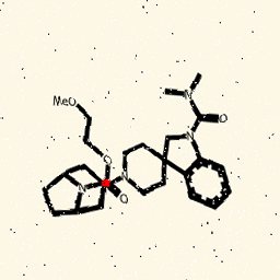 COCCOC(=O)N1C2CCC1CC(N1CCC3(CC1)CN(C(=O)N(C)C)c1ccccc13)C2